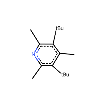 Cc1nc(C)c(C(C)(C)C)c(C)c1C(C)(C)C